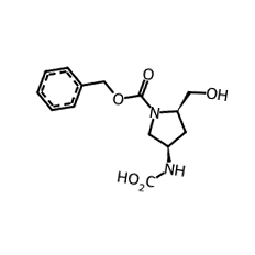 O=C(O)N[C@@H]1C[C@H](CO)N(C(=O)OCc2ccccc2)C1